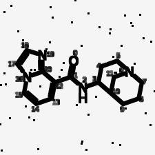 O=C(NC1CCN2CCCC1C2)c1cccn2ccnc12